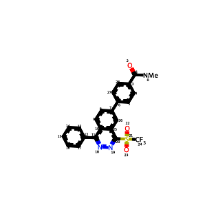 CNC(=O)c1ccc(-c2ccc3c(-c4ccccc4)nnc(S(=O)(=O)C(F)(F)F)c3c2)cc1